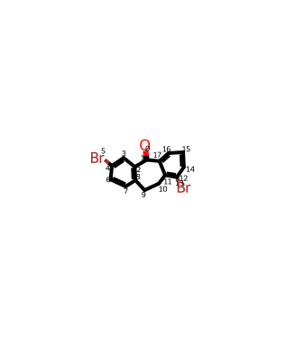 O=C1c2cc(Br)ccc2CCc2c(Br)cccc21